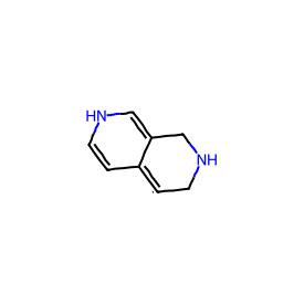 [C]1=C2C=CNC=C2CNC1